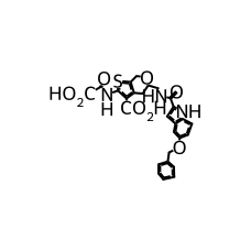 O=C(O)C(=O)Nc1sc2c(c1C(=O)O)CC(CNC(=O)c1cc3cc(OCc4ccccc4)ccc3[nH]1)OC2